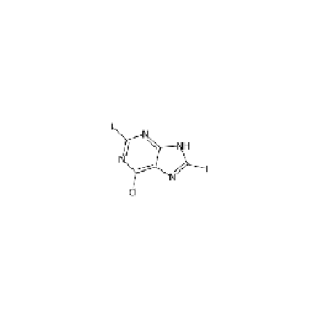 Clc1nc(I)nc2[nH]c(I)nc12